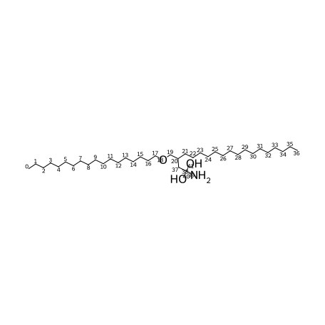 CCCCCCCCCCCCCCCCCCOCC(CCCCCCCCCCCCCCCC)CC(N)(O)O